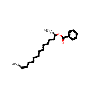 CCCCCCCC/C=C\CCCCCCCCCCC(OC(=O)c1ccccc1)C(=O)O